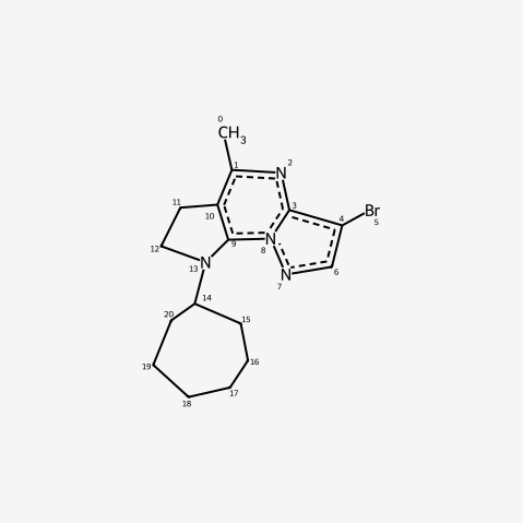 Cc1nc2c(Br)cnn2c2c1CCN2C1CCCCCC1